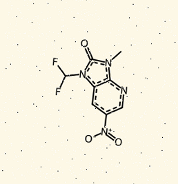 Cn1c(=O)n(C(F)F)c2cc([N+](=O)[O-])cnc21